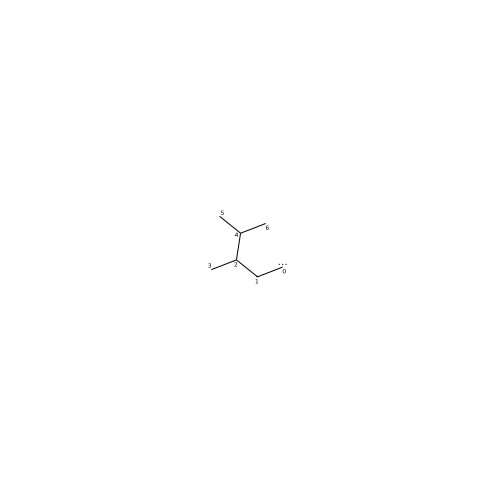 [C]CC(C)C(C)C